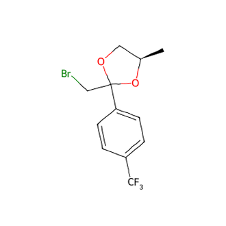 C[C@@H]1COC(CBr)(c2ccc(C(F)(F)F)cc2)O1